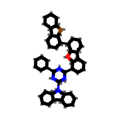 c1ccc(-c2nc(-c3cccc4c3oc3c(-c5cccc6c5sc5ccccc56)cccc34)nc(-n3c4ccccc4c4ccccc43)n2)cc1